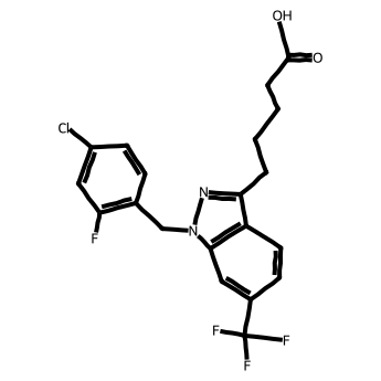 O=C(O)CCCCc1nn(Cc2ccc(Cl)cc2F)c2cc(C(F)(F)F)ccc12